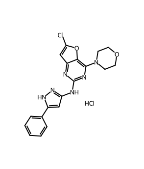 Cl.Clc1cc2nc(Nc3cc(-c4ccccc4)[nH]n3)nc(N3CCOCC3)c2o1